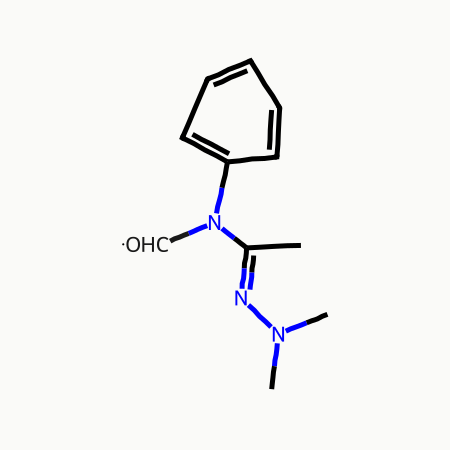 C/C(=N\N(C)C)N([C]=O)c1ccccc1